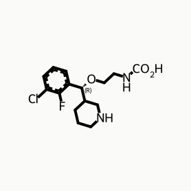 O=C(O)NCCO[C@@H](c1cccc(Cl)c1F)C1CCCNC1